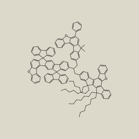 CCCCCCCC1(CCCCCCC)c2ccccc2-c2c1c1c(c3c2oc2ccccc23)-c2ccc(CC(Cc3ccc4c(c3)C(C)(C)c3cc(-c5ccccc5)c5oc6ccccc6c5c3-4)c3ccc4c(c3)C3(c5ccccc5-c5ccccc53)c3cc5c(cc3-4)C3(c4ccccc4-c4ccccc43)c3ccc4oc6ccccc6c4c3-5)cc2C1(CCCCCCC)CCCCCCC